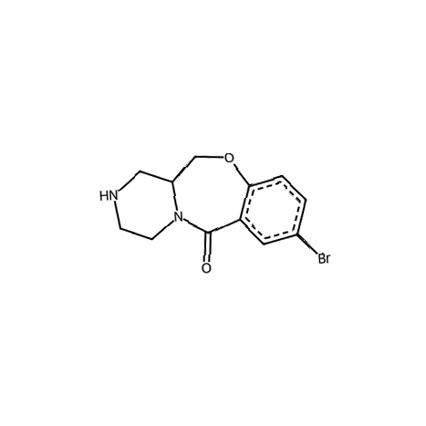 O=C1c2cc(Br)ccc2OCC2CNCCN12